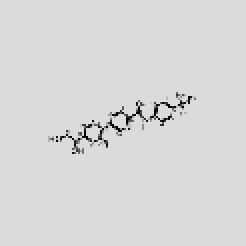 O=C(Nc1ccc(C(F)(F)F)cc1)c1ccc(-c2ncc([C@@H](O)CO)cc2Cl)cn1